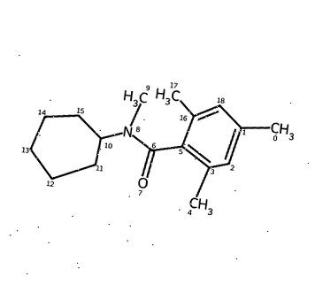 Cc1cc(C)c(C(=O)N(C)C2CCCCC2)c(C)c1